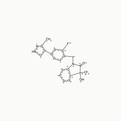 Cc1n[nH]cc1-c1ccc(CN2C(=O)C(O)(C(F)(F)F)c3ccccc32)c(F)c1